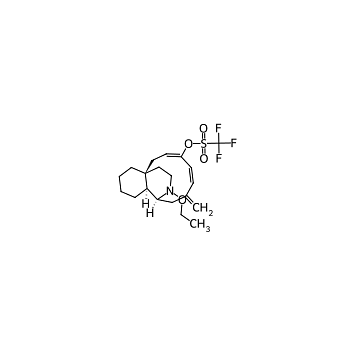 C=C1/C=C\C(OS(=O)(=O)C(F)(F)F)=C/C[C@]23CCCC[C@@H]2[C@H](C1)N(OCC)CC3